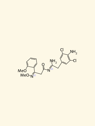 CO/N=C(/CC(=O)/N=C(\N)Cc1cc(Cl)c(N)c(Cl)c1)c1ccccc1OC